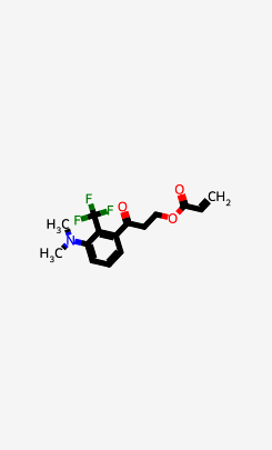 C=CC(=O)OCCC(=O)c1cccc(N(C)C)c1C(F)(F)F